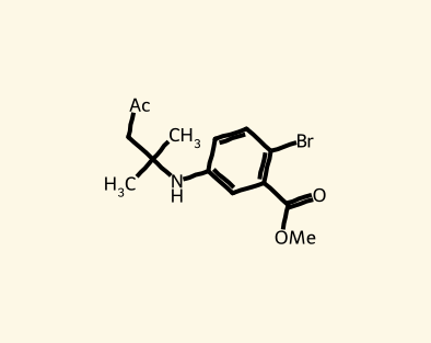 COC(=O)c1cc(NC(C)(C)CC(C)=O)ccc1Br